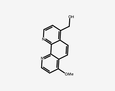 COc1ccnc2c1ccc1c(CO)ccnc12